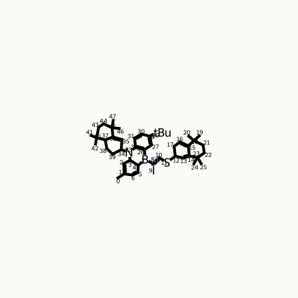 CC1=CC2C(C=C1)B(/C(I)=C/SC1C=C3C(=CC1)C(C)(C)CCC3(C)C)c1cc(C(C)(C)C)ccc1N2C1C=C2C(CC1)C(C)(C)CCC2(C)C